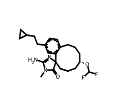 CN1C(=O)C2(CCC[C@@H](OC(F)F)CCCc3ccc(CCC4CC4)cc32)N=C1N